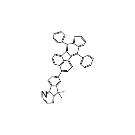 CC1(C)c2cc(-c3ccc4c5c(cccc35)-c3c-4c(-c4ccccc4)c4ccccc4c3-c3ccccc3)ccc2-c2ncccc21